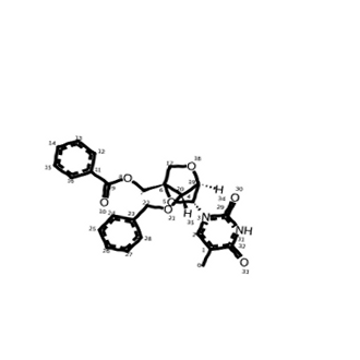 Cc1cn([C@@H]2O[C@]3(COC(=O)c4ccccc4)CO[C@@H]2[C@@H]3OCc2ccccc2)c(=O)[nH]c1=O